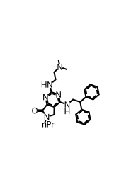 CCCN1Cc2c(NCC(c3ccccc3)c3ccccc3)nc(NCCN(C)C)nc2C1=O